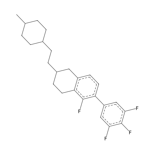 CC1CCC(CCC2CCc3c(ccc(-c4cc(F)c(F)c(F)c4)c3F)C2)CC1